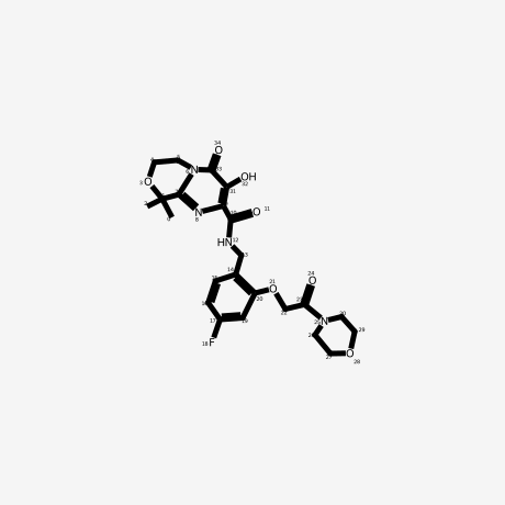 CC1(C)OCCn2c1nc(C(=O)NCc1ccc(F)cc1OCC(=O)N1CCOCC1)c(O)c2=O